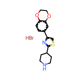 Br.c1cc2c(cc1-c1csc(C3CCNCC3)n1)OCCO2